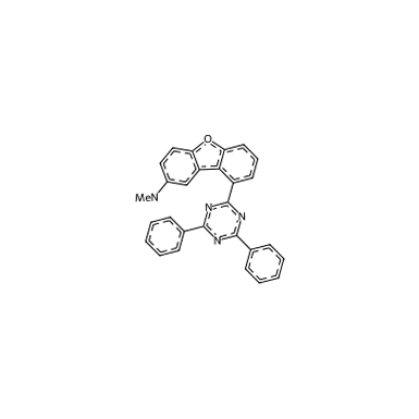 CNc1ccc2oc3cccc(-c4nc(-c5ccccc5)nc(-c5ccccc5)n4)c3c2c1